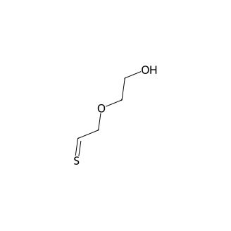 OCCOCC=S